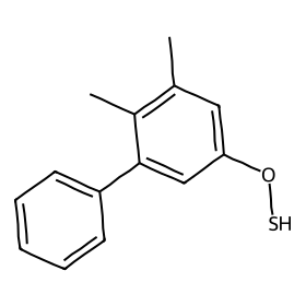 Cc1cc(OS)cc(-c2ccccc2)c1C